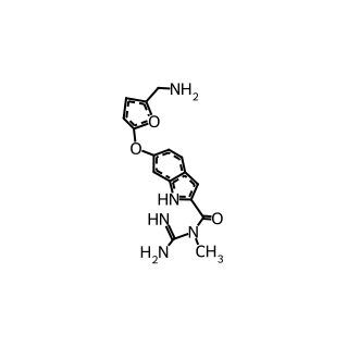 CN(C(=N)N)C(=O)c1cc2ccc(Oc3ccc(CN)o3)cc2[nH]1